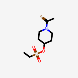 CCS(=O)(=O)OC1CCN(C(C)=S)CC1